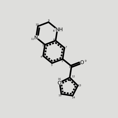 O=C(c1ccc2c(c1)NCC=N2)c1ccco1